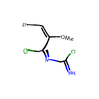 CC/C=C(OC)\C(Cl)=N/C(=N)Cl